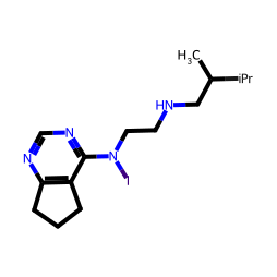 CC(C)C(C)CNCCN(I)c1ncnc2c1CCC2